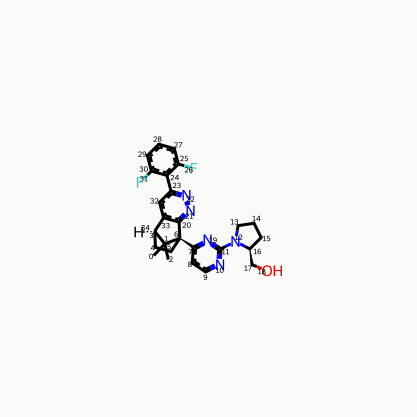 CC1(C)[C@H]2CC[C@@]1(c1ccnc(N3CCC[C@H]3CO)n1)c1nnc(-c3c(F)cccc3F)cc12